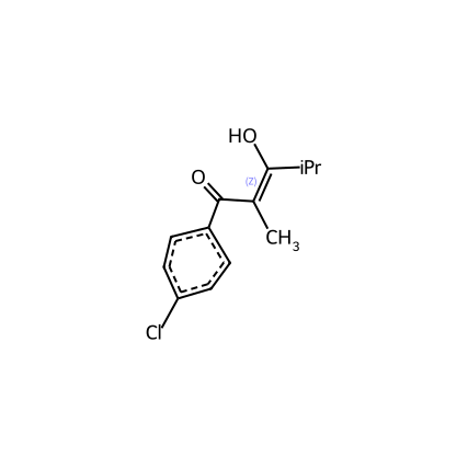 C/C(C(=O)c1ccc(Cl)cc1)=C(/O)C(C)C